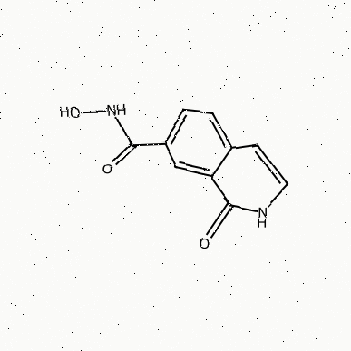 O=C(NO)c1ccc2cc[nH]c(=O)c2c1